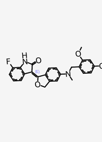 COc1ccc(CN(C)c2ccc3c(c2)CO/C3=C2/C(=O)Nc3c(F)cccc32)c(OC)c1